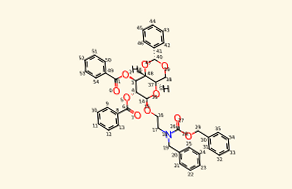 O=C(O[C@@H]1[C@@H](OC(=O)c2ccccc2)[C@H](OCCN(Cc2ccccc2)C(=O)OCc2ccccc2)O[C@@H]2CO[C@@H](c3ccccc3)O[C@@H]12)c1ccccc1